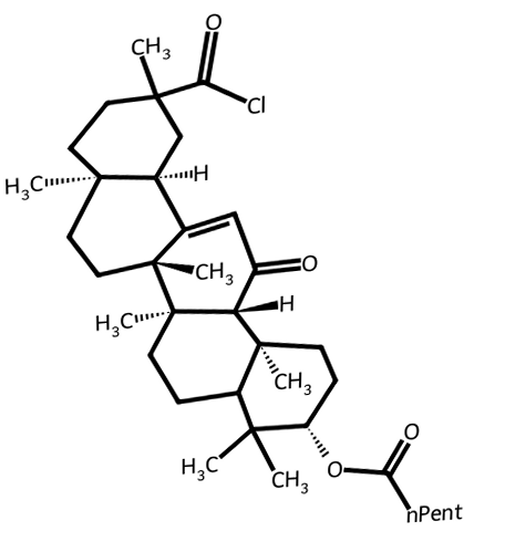 CCCCCC(=O)O[C@H]1CC[C@@]2(C)C(CC[C@]3(C)[C@@H]2C(=O)C=C2[C@@H]4CC(C)(C(=O)Cl)CC[C@]4(C)CC[C@]23C)C1(C)C